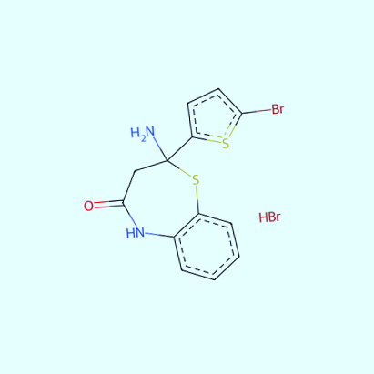 Br.NC1(c2ccc(Br)s2)CC(=O)Nc2ccccc2S1